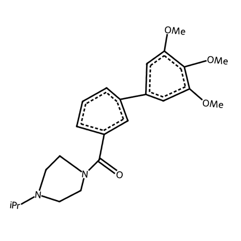 COc1cc(-c2cccc(C(=O)N3CCN(C(C)C)CC3)c2)cc(OC)c1OC